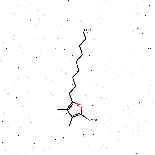 CCCCCc1oc(CCCCCCCCC(=O)O)c(C)c1C